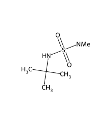 CNS(=O)(=O)NC(C)(C)C